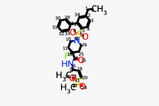 CCc1ccc(S(=O)(=O)N2CCC(F)(C(=O)N[C@H](C)/C=C\S(C)(=O)=O)CC2)c(-c2ccccc2)c1